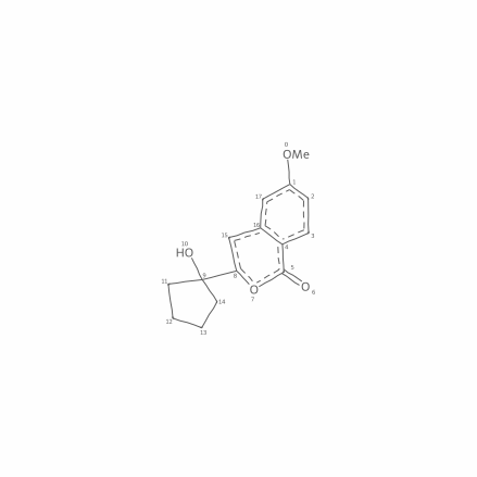 COc1ccc2c(=O)oc(C3(O)CCCC3)cc2c1